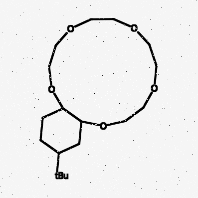 CC(C)(C)C1CCC2OCCOCCOCCOCCOC2C1